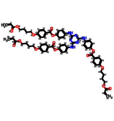 C=CC(=O)OCCCCOc1ccc(C(=O)Oc2ccc(Nc3nc(Nc4ccc(OC(=O)c5ccc(OCCCCOC(=O)C=C)cc5)cc4)nc(Nc4ccc(OC(=O)c5ccc(OCCCCOC(=O)C=C)cc5)cc4)n3)cc2)cc1